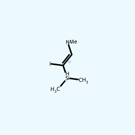 CN/C=C(\I)[SiH](C)C